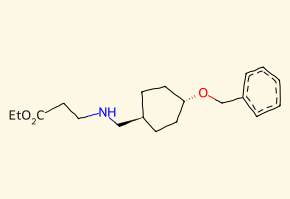 CCOC(=O)CCNC[C@H]1CC[C@H](OCc2ccccc2)CC1